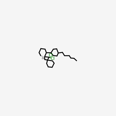 CCCCCCC1CCC(C2CCCC[C@]23CC2(CCCCC2)C3(Cl)Cl)CC1